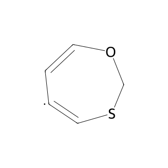 [C]1=CSCOC=C1